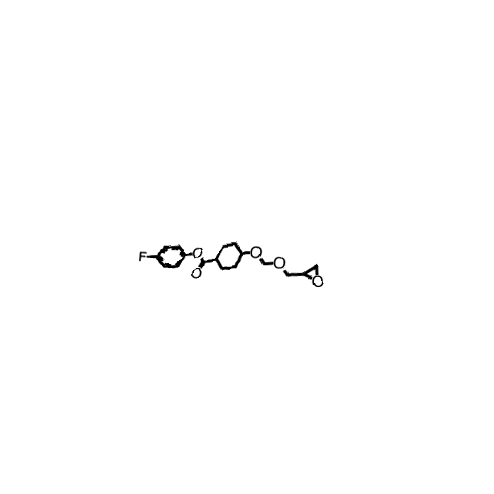 O=C(Oc1ccc(F)cc1)C1CCC(OCOCC2CO2)CC1